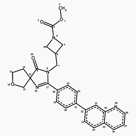 COC(=O)N1CC(CN2C(=O)C3(CCOC3)N=C2c2ccc(-c3ccc4cccnc4c3)cc2)C1